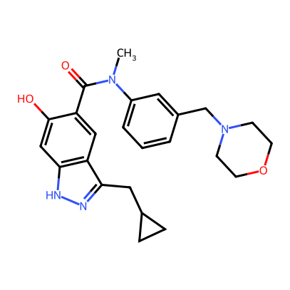 CN(C(=O)c1cc2c(CC3CC3)n[nH]c2cc1O)c1cccc(CN2CCOCC2)c1